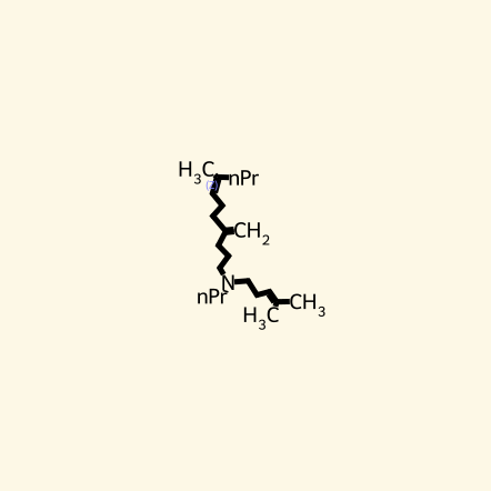 C=C(CC/C=C(/C)CCC)CCCN(CCC)CCC=C(C)C